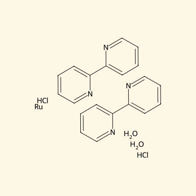 Cl.Cl.O.O.[Ru].c1ccc(-c2ccccn2)nc1.c1ccc(-c2ccccn2)nc1